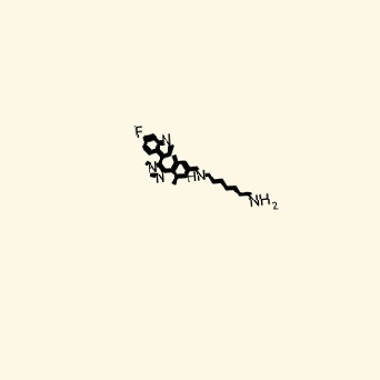 Cc1cc(CNCCCCCCCN)cc(C)c1-c1ncn(C)c1-c1ccnc2cc(F)ccc12